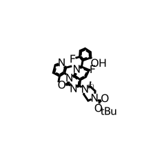 Cc1ccnc(C)c1-n1c(=O)nc(N2CCN(C(=O)OC(C)(C)C)C[C@@H]2C)c2cc(F)c(-c3c(O)cccc3F)nc21